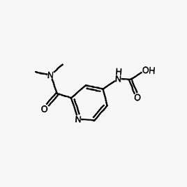 CN(C)C(=O)c1cc(NC(=O)O)ccn1